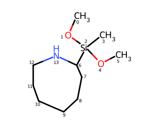 CO[Si](C)(OC)C1CCCCCCN1